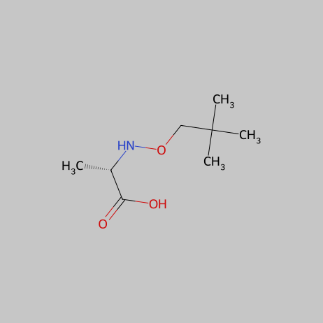 C[C@H](NOCC(C)(C)C)C(=O)O